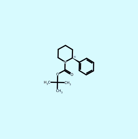 CC(C)(C)OC(=O)N1CCCC[C@H]1c1ccccc1